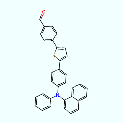 O=Cc1ccc(-c2ccc(-c3ccc(N(c4ccccc4)c4cccc5ccccc45)cc3)s2)cc1